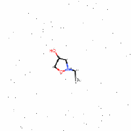 CC(C)(C)CN1CC(O)CO1